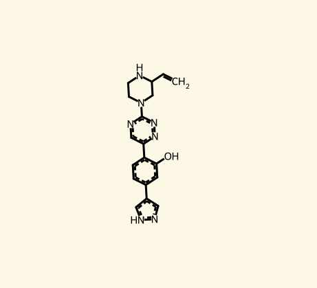 C=CC1CN(c2ncc(-c3ccc(-c4cn[nH]c4)cc3O)nn2)CCN1